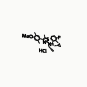 C#CCN(c1nc(-c2cc(C)c(OC)cc2C)c(C)s1)[C@@H](CC1CC1)c1cccc(F)c1C.Cl